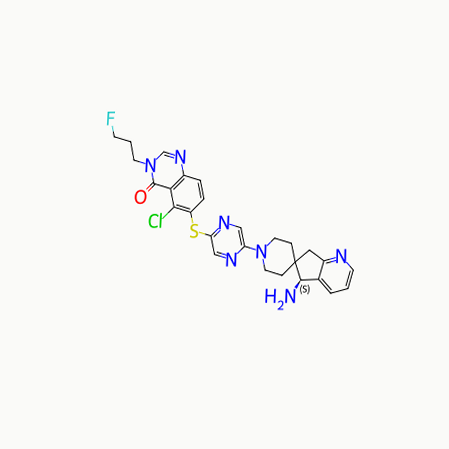 N[C@@H]1c2cccnc2CC12CCN(c1cnc(Sc3ccc4ncn(CCCF)c(=O)c4c3Cl)cn1)CC2